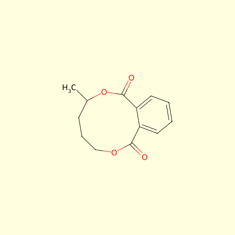 CC1CCCOC(=O)c2ccccc2C(=O)O1